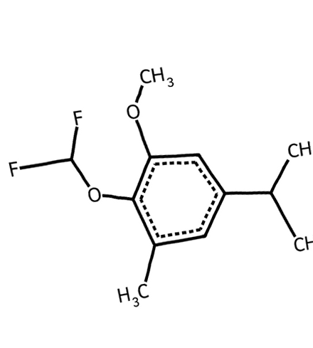 COc1cc(C(C)C)cc(C)c1OC(F)F